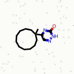 CC1(c2cn[nH]c(=O)n2)CCCCCCCCCC1